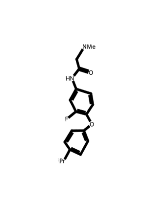 CNCC(=O)Nc1ccc(Oc2ccc(C(C)C)cc2)c(F)c1